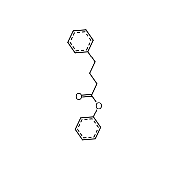 O=C(CCCc1ccccc1)Oc1ccccc1